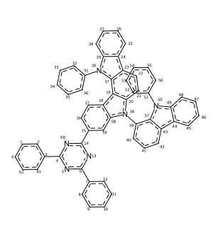 c1ccc(-c2nc(-c3ccccc3)nc(-c3ccc4c5c(ccc6c7ccccc7n(-c7ccccc7)c65)n(-c5cccc6c7ccccc7n(-c7ccccc7)c56)c4c3)n2)cc1